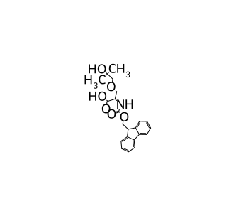 CC(C)(O)COCC(NC(=O)OCC1c2ccccc2-c2ccccc21)C(=O)O